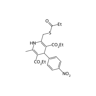 CCOC(=O)C1=C(C)NC(CSC(=O)CC)=C(C(=O)OCC)C1c1ccc([N+](=O)[O-])cc1